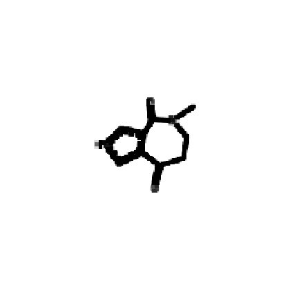 CN1CCC(=O)c2c[nH]cc2C1=O